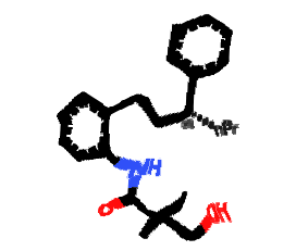 CCC[C@H](CCc1ccccc1NC(=O)C(C)(C)CO)c1ccccc1